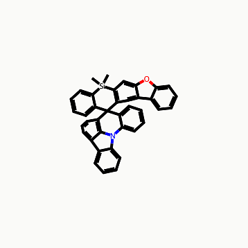 C[Si]1(C)c2ccccc2C2(c3ccccc3-n3c4ccccc4c4cccc2c43)c2cc3c(cc21)oc1ccccc13